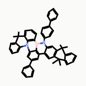 CC1(C)c2ccccc2C(C)(C)c2cc3c(cc21)-c1cc(-c2ccccc2)cc2c1B(c1cccc4c1N2c1ccccc1C4(C)C)N3c1ccc(-c2ccccc2)cc1